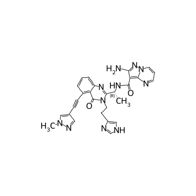 C[C@@H](NC(=O)c1c(N)nn2cccnc12)c1nc2cccc(C#Cc3cnn(C)c3)c2c(=O)n1CCc1c[nH]cn1